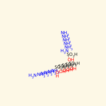 N.N.N.N.N.N.N.N.N.N.N.N.O=S(=O)(O)O.O=S(=O)(O)O.O=S(=O)(O)O.O=S(=O)(O)O.O=S(=O)(O)O.O=S(=O)(O)O